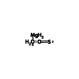 O.O=S.[MgH2]